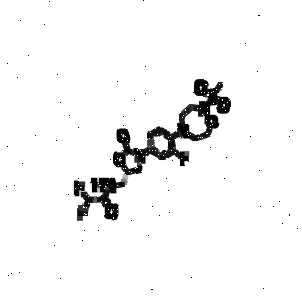 CS(=O)(=O)N1CCN(c2ccc(N3C[C@H](CNC(=O)C(F)F)OC3=O)cc2F)CCO1